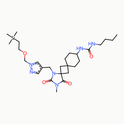 CCCCNC(=O)NC1CCC2(CC1)CC1(C2)C(=O)N(C)C(=O)N1Cc1cnn(COCC[Si](C)(C)C)c1